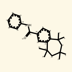 CC1(C)CC(C)(C)c2ccc(C(=O)Nc3ccccc3)cc2C(C)(C)C1